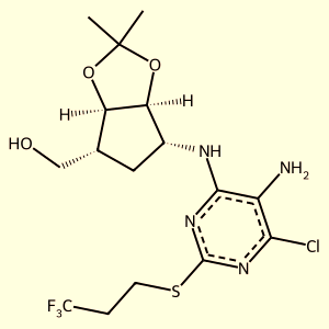 CC1(C)O[C@@H]2[C@@H](CO)C[C@@H](Nc3nc(SCCC(F)(F)F)nc(Cl)c3N)[C@@H]2O1